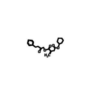 C=C(CC(=O)OC1CCCCC1)C(=O)OCC(=O)CCc1ccccc1